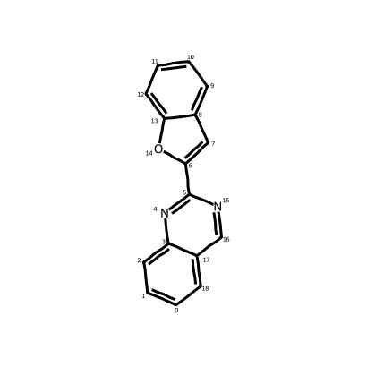 c1ccc2nc(-c3cc4ccccc4o3)ncc2c1